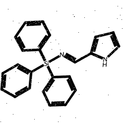 C(=N\[Si](c1ccccc1)(c1ccccc1)c1ccccc1)/c1ccc[nH]1